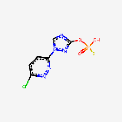 O=P(O)(S)Oc1ncn(-c2ccc(Cl)nn2)n1